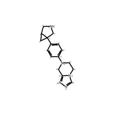 c1cc(C23CNCC2C3)ccc1N1CCn2cnnc2C1